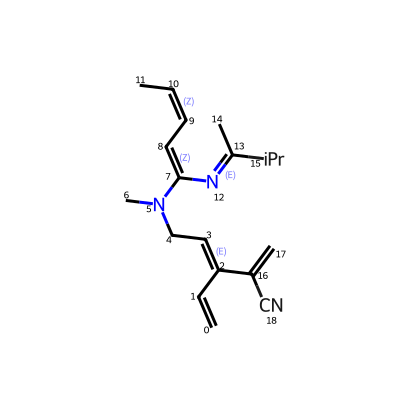 C=C/C(=C\CN(C)C(=C/C=C\C)/N=C(\C)C(C)C)C(=C)C#N